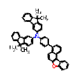 CC1(C)c2ccccc2-c2cc(N(c3ccc(-c4cccc5c4ccc4oc6ccccc6c45)cc3)c3ccc4c(c3)-c3ccccc3C4(C)C)ccc21